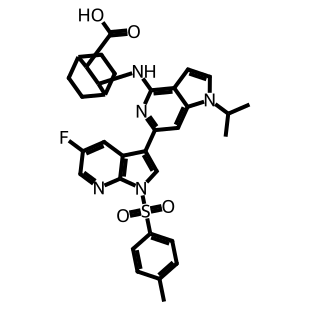 Cc1ccc(S(=O)(=O)n2cc(-c3cc4c(ccn4C(C)C)c(NC4C5CCC(CC5)C4C(=O)O)n3)c3cc(F)cnc32)cc1